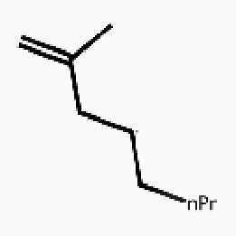 C=C(C)C[CH]CCCC